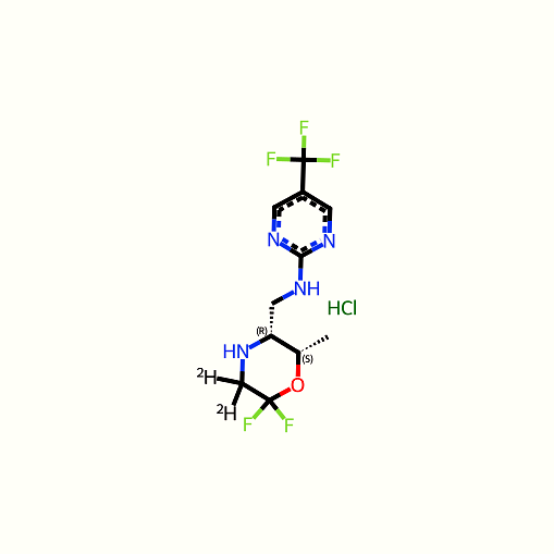 Cl.[2H]C1([2H])N[C@H](CNc2ncc(C(F)(F)F)cn2)[C@H](C)OC1(F)F